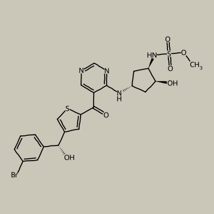 COS(=O)(=O)N[C@@H]1C[C@@H](Nc2ncncc2C(=O)c2cc([C@H](O)c3cccc(Br)c3)cs2)C[C@@H]1O